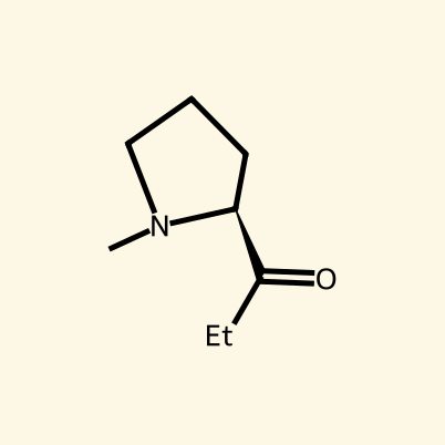 CCC(=O)[C@@H]1CCCN1C